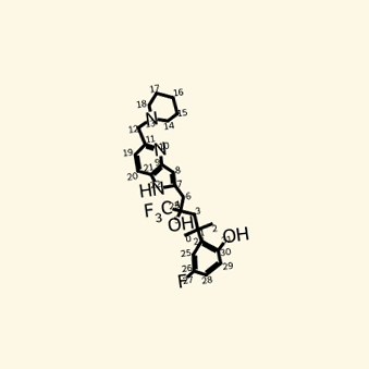 CC(C)(CC(O)(Cc1cc2nc(CN3CCCCC3)ccc2[nH]1)C(F)(F)F)c1cc(F)ccc1O